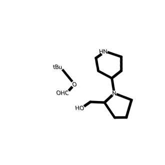 CC(C)(C)OC=O.OCC1CCCN1C1CCNCC1